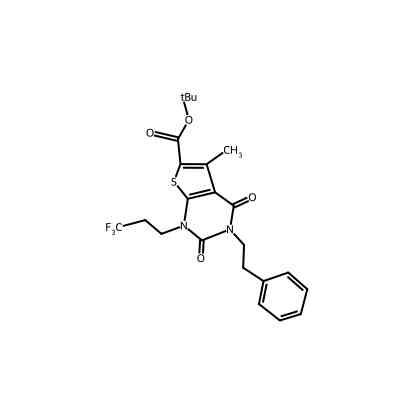 Cc1c(C(=O)OC(C)(C)C)sc2c1c(=O)n(CCc1ccccc1)c(=O)n2CCC(F)(F)F